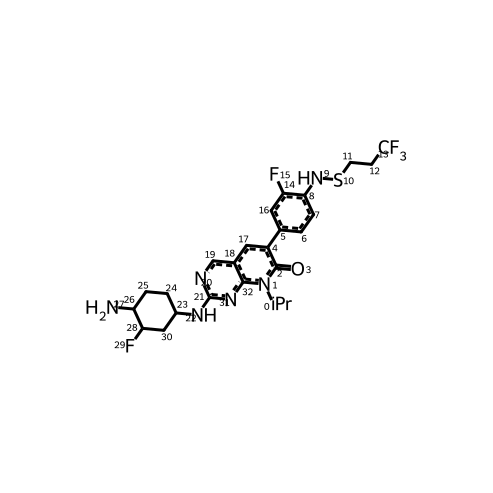 CC(C)n1c(=O)c(-c2ccc(NSCCC(F)(F)F)c(F)c2)cc2cnc(NC3CCC(N)C(F)C3)nc21